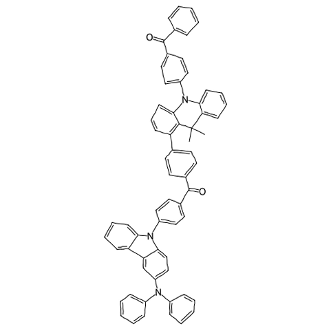 CC1(C)c2ccccc2N(c2ccc(C(=O)c3ccccc3)cc2)c2cccc(-c3ccc(C(=O)c4ccc(-n5c6ccccc6c6cc(N(c7ccccc7)c7ccccc7)ccc65)cc4)cc3)c21